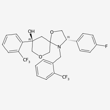 O[C@]1(c2ccccc2C(F)(F)F)COCC2(C1)OC[C@H](c1ccc(F)cc1)N2Cc1ccccc1C(F)(F)F